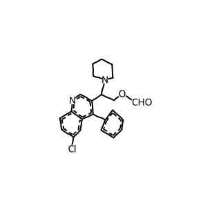 O=COCC(c1cnc2ccc(Cl)cc2c1-c1ccccc1)N1CCCCC1